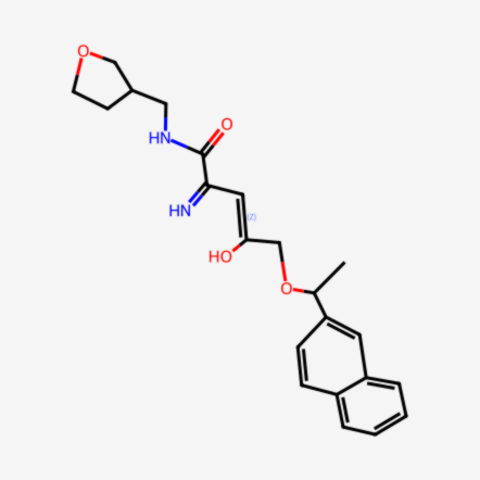 CC(OC/C(O)=C/C(=N)C(=O)NCC1CCOC1)c1ccc2ccccc2c1